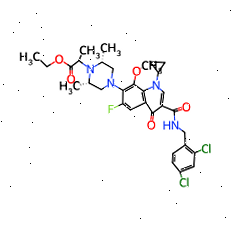 CCOC(=O)C(C)N1[C@H](C)CN(c2c(F)cc3c(=O)c(C(=O)NCc4ccc(Cl)cc4Cl)cn(C4CC4)c3c2OC)C[C@@H]1C